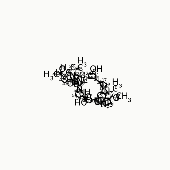 CCn1c(-c2cnccc2COC)c2c3cc(ccc31)-c1cc(O)cc(c1)C[C@H](NC(=O)[C@H](C(C)C)N(C)C(=O)C1(O)CCN(C(C)=O)C1)C(=O)N1CCC[C@@](C(=O)O)(COCC(C)(C)C2)N1